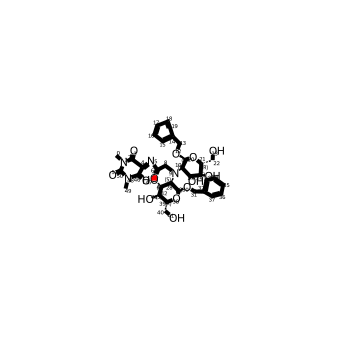 CN1C(=O)C(=NC(=O)CN([C@@H]2[C@@H](OCc3ccccc3)O[C@H](CO)[C@@H](O)[C@@H]2O)[C@@H]2[C@@H](OCc3ccccc3)O[C@H](CO)[C@@H](O)[C@@H]2O)C(=O)N(C)C1=O